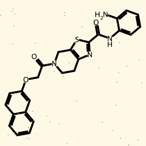 Nc1ccccc1NC(=O)c1nc2c(s1)CN(C(=O)COc1ccc3ccccc3c1)CC2